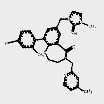 Cc1ccnc(CN2CCOc3c(cc(Cn4ccn(C)c4=N)cc3-c3ccc(F)cc3C)C2=O)c1